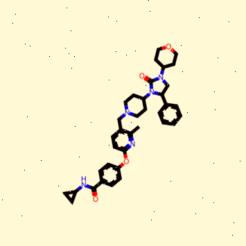 Cc1nc(Oc2ccc(C(=O)NC3CC3)cc2)ccc1CN1CCC(N2C(=O)N(C3CCOCC3)CC2c2ccccc2)CC1